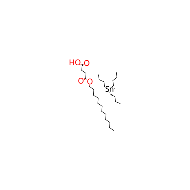 CCCCCCCCCCCCOC(=O)CCC(=O)O.CCC[CH2][Sn]([CH2]CCC)[CH2]CCC